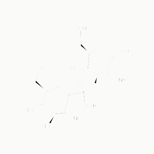 CC(O[C@@H]1[C@@H](N)[C@@H](O)O[C@H](CO)[C@H]1O)(C(=O)O)C1O[C@H](CO)[C@@H](O)[C@H](O)[C@H]1N